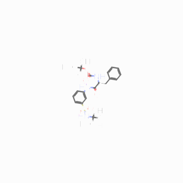 CC(C)(C)NS(=O)(=O)c1cccc(NC(=O)[C@H](Cc2ccccc2)NC(=O)OC(C)(C)C)c1